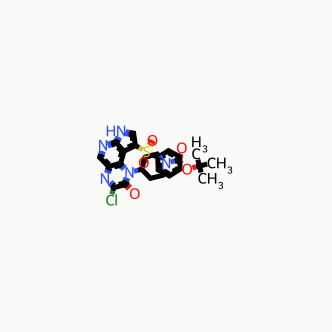 CC(C)(C)OC(=O)N1CCC(n2c(=O)c(Cl)nc3cnc4[nH]cc(S(=O)(=O)c5ccccc5)c4c32)CC1